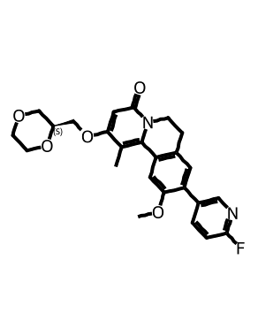 COc1cc2c(cc1-c1ccc(F)nc1)CCn1c-2c(C)c(OC[C@@H]2COCCO2)cc1=O